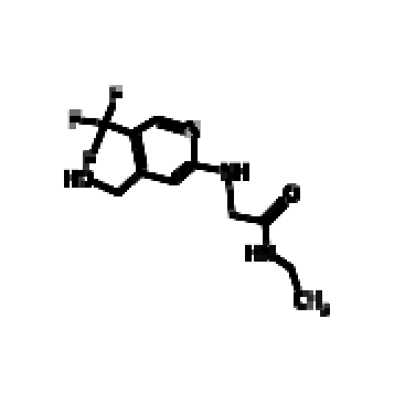 CCNC(=O)CNc1cc(CO)c(C(F)(F)F)cn1